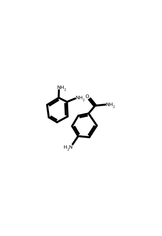 NC(=O)c1ccc(N)cc1.Nc1ccccc1N